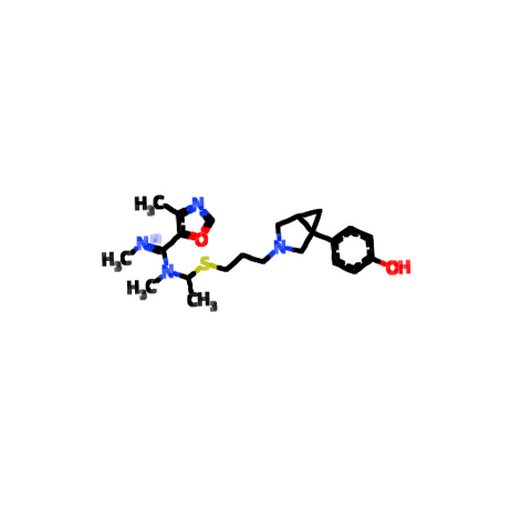 C/N=C(/c1ocnc1C)N(C)C(C)SCCCN1CC2CC2(c2ccc(O)cc2)C1